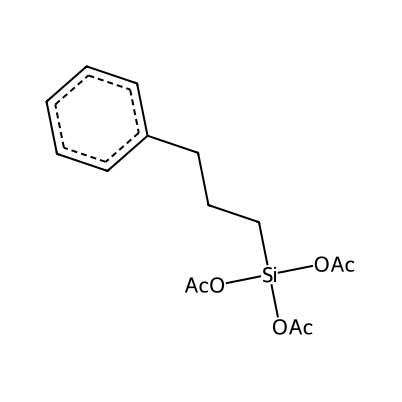 CC(=O)O[Si](CCCc1ccccc1)(OC(C)=O)OC(C)=O